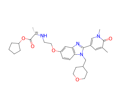 Cc1cc(-c2nc3cc(OCCN[C@@H](C)C(=O)OC4CCCC4)ccc3n2CC2CCOCC2)cn(C)c1=O